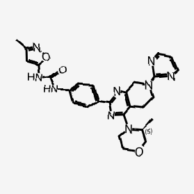 Cc1cc(NC(=O)Nc2ccc(-c3nc4c(c(N5CCOC[C@@H]5C)n3)CCN(c3ncccn3)C4)cc2)on1